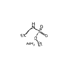 CCNS(=O)(=O)OCC.N